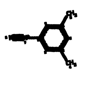 Cc1cc(C)cc([N+]#N)c1